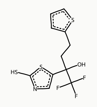 OC(CCc1cccs1)(c1cnc(S)s1)C(F)(F)F